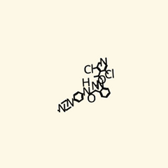 CC(On1nc(C(=O)Nc2ccc(N3CCN(C)CC3)cc2)c2ccccc21)c1c(Cl)cncc1Cl